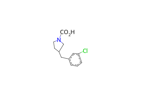 O=C(O)N1CCC(Cc2cccc(Cl)c2)C1